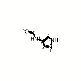 O=CNc1cn[nH]c1